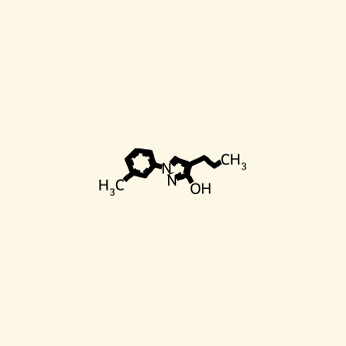 CCCc1cn(-c2cccc(C)c2)nc1O